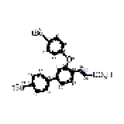 CC(C)(C)c1ccc(Oc2cc(-c3ccc(C(C)(C)C)cc3)ccc2/C=C/C(=O)O)cc1